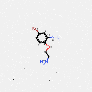 NCCOc1ccc(Br)cc1N